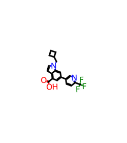 O=C(O)c1cc(-c2ccc(C(F)(F)F)nc2)cc2c1ccn2CC1CCC1